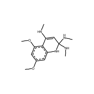 CNC1=CC(NC)(NC)Nc2cc(OC)cc(OC)c21